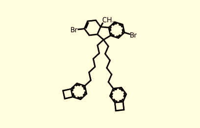 CC12CC=C(Br)CC1C(CCCCCCc1ccc3c(c1)CC3)(CCCCCCc1ccc3c(c1)CC3)c1cc(Br)ccc12